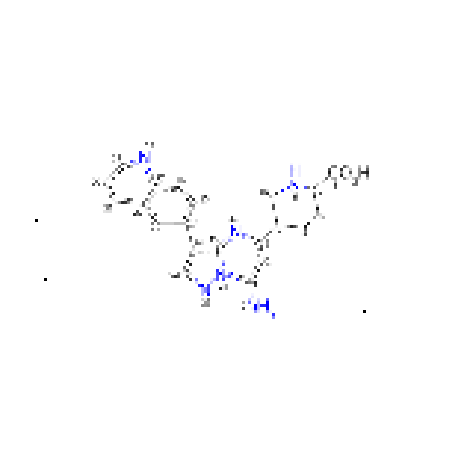 Nc1cc(C2CCC(C(=O)O)NC2)nc2c(-c3ccc4ncccc4c3)cnn12